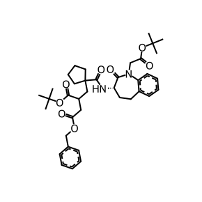 CC(C)(C)OC(=O)CN1C(=O)[C@@H](NC(=O)C2(CC(CC(=O)OCc3ccccc3)C(=O)OC(C)(C)C)CCCC2)CCc2ccccc21